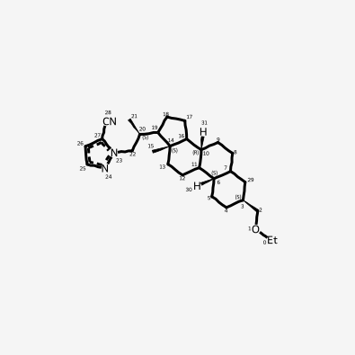 CCOC[C@H]1CC[C@H]2C(CC[C@@H]3C2CC[C@@]2(C)C3CCC2[C@H](C)Cn2nccc2C#N)C1